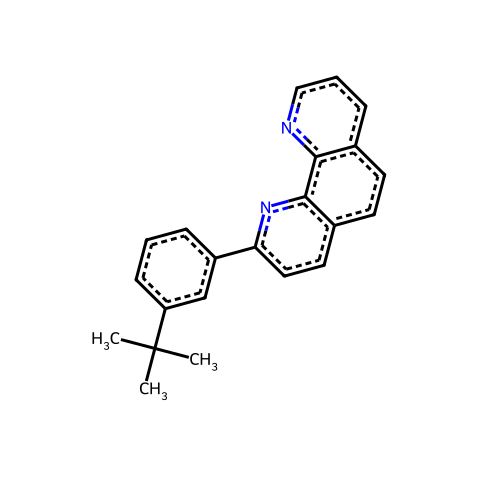 CC(C)(C)c1cccc(-c2ccc3ccc4cccnc4c3n2)c1